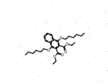 CCCCCCOc1c(C(=O)OCC)c(C(=O)OCC)c(OCCCCCC)c2ccccc12